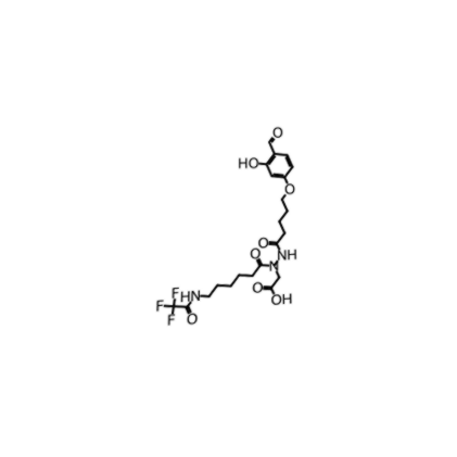 O=Cc1ccc(OCCCCC(=O)NN(CC(=O)O)C(=O)CCCCCNC(=O)C(F)(F)F)cc1O